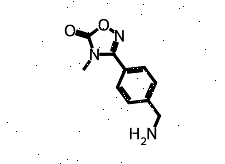 Cn1c(-c2ccc(CN)cc2)noc1=O